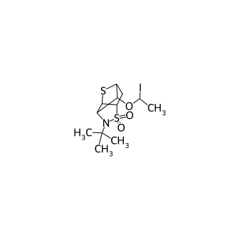 CC(I)OC1C2CC3C(S2)C1N(C(C)(C)C)S3(=O)=O